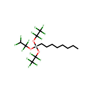 CCCCCCCC[Si](OC(F)(F)C(F)F)(OC(F)(F)C(F)(F)F)OC(F)(F)C(F)(F)F